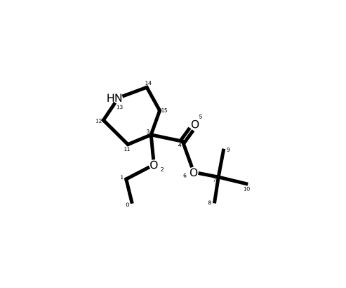 CCOC1(C(=O)OC(C)(C)C)[CH]CNCC1